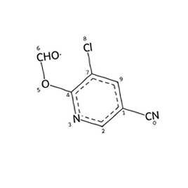 N#Cc1cnc(O[C]=O)c(Cl)c1